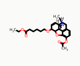 CCOC(=O)CCCCCOC1C=C[C@H]2[C@H]3Cc4ccc(OC(C)=O)c5c4[C@@]2(CCN3C)C1O5